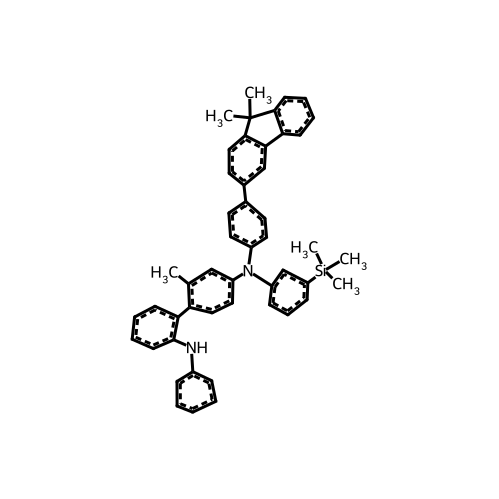 Cc1cc(N(c2ccc(-c3ccc4c(c3)-c3ccccc3C4(C)C)cc2)c2cccc([Si](C)(C)C)c2)ccc1-c1ccccc1Nc1ccccc1